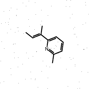 CC=C(C)c1cccc(C)n1